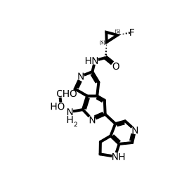 Nc1nc(-c2cncc3c2CCN3)cc2cc(NC(=O)[C@@H]3C[C@@H]3F)ncc12.O=CO